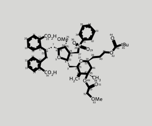 C=C1[C@@H](C[C@@H]2O[C@H](C[C@H](Cc3ccccc3C(=O)O)c3ccccc3C(=O)O)[C@H](OC)[C@H]2CS(=O)(=O)c2ccccc2)O[C@@H](CCCOC(=O)C(C)(C)C)C[C@@]1(C)OC(=O)COC